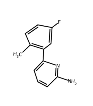 Cc1ccc(F)cc1-c1cccc(N)n1